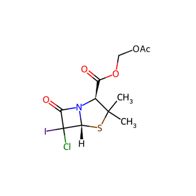 CC(=O)OCOC(=O)[C@@H]1N2C(=O)C(Cl)(I)[C@H]2SC1(C)C